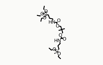 CCO[Si](C)(CCCNC(=O)OCC(C)(C)COC(=O)NCCC[Si](OCC)(OCC)OCC)OCC